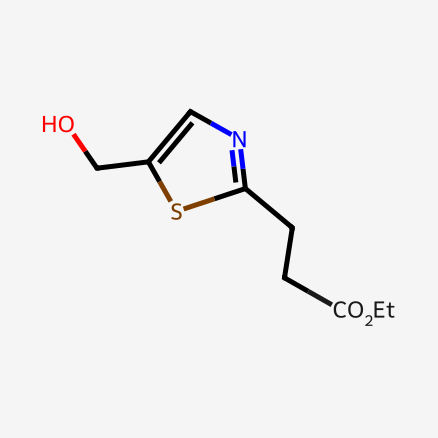 CCOC(=O)CCc1ncc(CO)s1